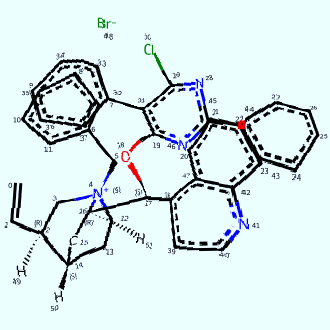 C=C[C@H]1C[N@+]2(Cc3ccccc3)CC[C@H]1C[C@@H]2[C@@H](Oc1nc(-c2ccccc2)nc(Cl)c1-c1ccccc1)c1ccnc2ccccc12.[Br-]